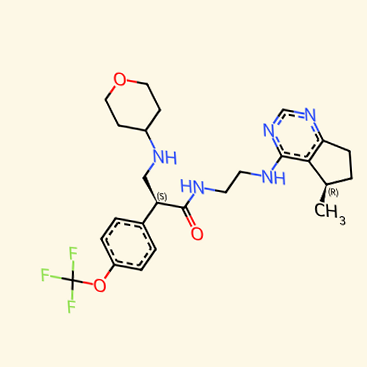 C[C@@H]1CCc2ncnc(NCCNC(=O)[C@H](CNC3CCOCC3)c3ccc(OC(F)(F)F)cc3)c21